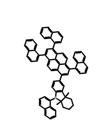 CC12CCCCC1(C)N(c1cccc3ccccc13)c1ccc(-c3cc(-c4cccc5ccccc45)c4ccc5c(-c6cccc7ccccc67)cc(-c6cccc7ccccc67)c6ccc3c4c65)cc12